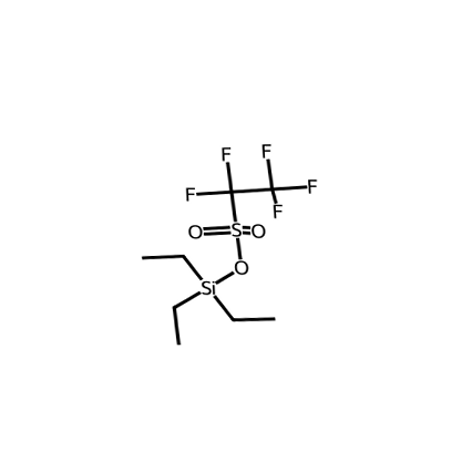 CC[Si](CC)(CC)OS(=O)(=O)C(F)(F)C(F)(F)F